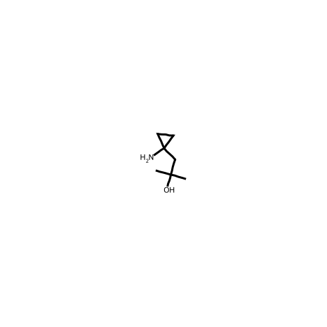 CC(C)(O)CC1(N)CC1